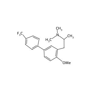 COc1ccc(-c2ccc(C(F)(F)F)cc2)cc1CC(C)N(C)C